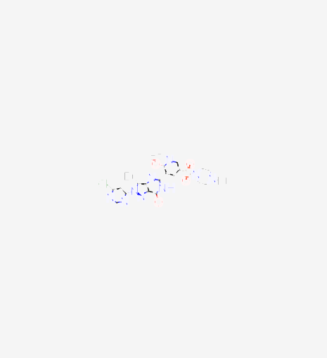 CCOc1ncc(S(=O)(=O)N2CCN(CC)CC2)cc1-c1nc2c(CC)n(-c3cc(Cl)ncn3)nc2c(=O)[nH]1